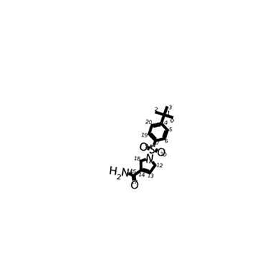 CC(C)(C)c1ccc(S(=O)(=O)N2CC=C(C(N)=O)C2)cc1